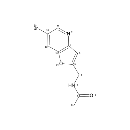 CC(=O)NCc1cc2ncc(Br)cc2o1